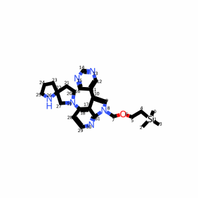 C[Si](C)(C)CCOCn1cc(-c2cncnc2)c2c(N3CCC4(CCCN4)C3)ccnc21